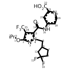 CC(C)Oc1nn(CC2CCC(F)(F)C2)c(C(=O)Nc2ccnc(C(=O)O)c2)c1C(F)(F)F